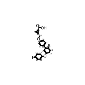 O=C(O)[C@@H]1C[C@H]1COc1ccc(-c2cc(Oc3ccc(F)cc3)ccc2F)cc1